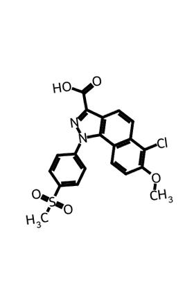 COc1ccc2c(ccc3c(C(=O)O)nn(-c4ccc(S(C)(=O)=O)cc4)c32)c1Cl